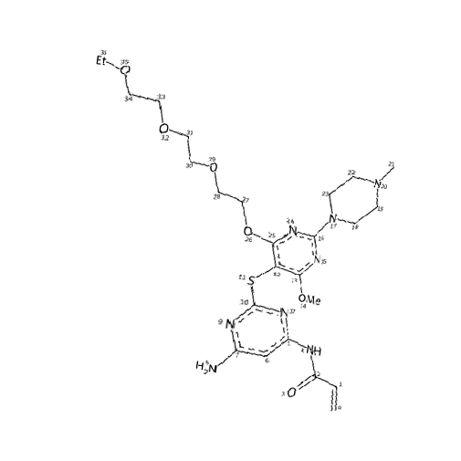 C=CC(=O)Nc1cc(N)nc(Sc2c(OC)nc(N3CCN(C)CC3)nc2OCCOCCOCCOCC)n1